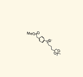 COC(=O)Cc1ccc([S+]([O-])CCCC2COC(C)(C)O2)cc1